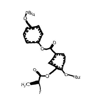 C=C(F)C(=O)Oc1cc(C(=O)Oc2ccc(OCCCC)cc2)ccc1OCCCC